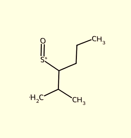 [CH2]C(C)C(CCC)[S+]=O